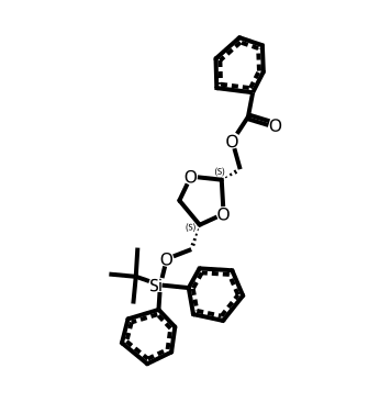 CC(C)(C)[Si](OC[C@@H]1CO[C@H](COC(=O)c2ccccc2)O1)(c1ccccc1)c1ccccc1